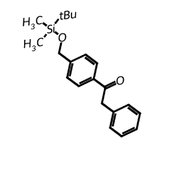 CC(C)(C)[Si](C)(C)OCc1ccc(C(=O)Cc2ccccc2)cc1